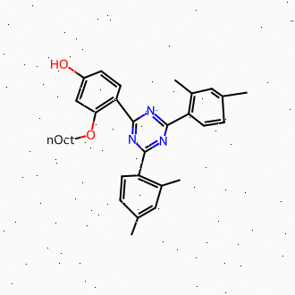 CCCCCCCCOc1cc(O)ccc1-c1nc(-c2ccc(C)cc2C)nc(-c2ccc(C)cc2C)n1